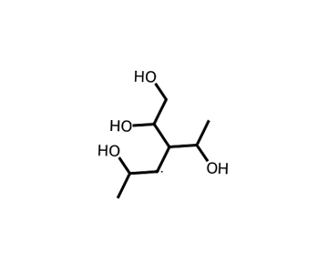 CC(O)[CH]C(C(C)O)C(O)CO